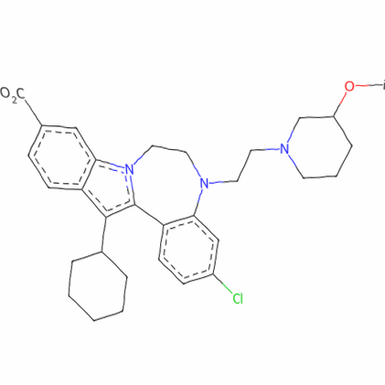 CC(C)OC1CCCN(CCN2CCn3c(c(C4CCCCC4)c4ccc(C(=O)O)cc43)-c3ccc(Cl)cc32)C1